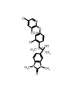 C[C@H](c1ccc(Oc2ncc(Cl)cc2C(=O)O)cc1Cl)[C@@](O)(c1ccc2c(c1)n(C)c(=O)n2C)C(F)(F)F